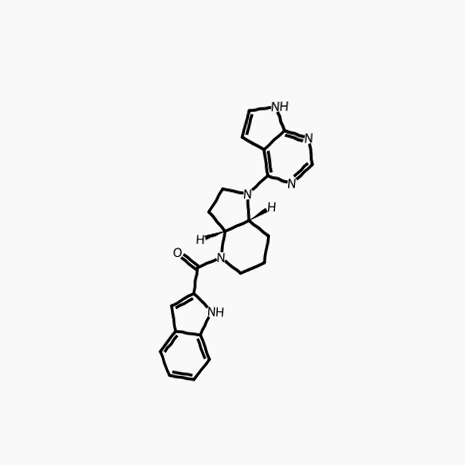 O=C(c1cc2ccccc2[nH]1)N1CCC[C@@H]2[C@H]1CCN2c1ncnc2[nH]ccc12